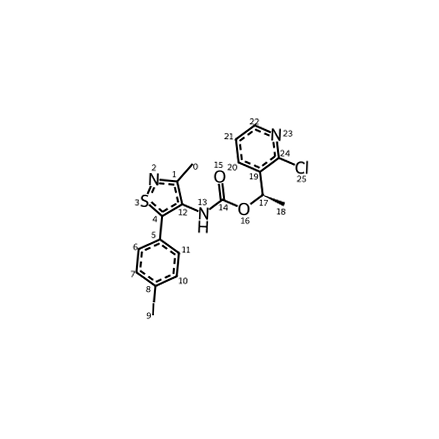 Cc1nsc(-c2ccc(I)cc2)c1NC(=O)O[C@H](C)c1cccnc1Cl